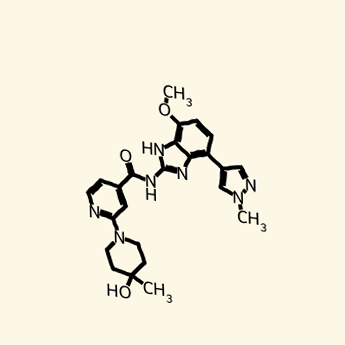 COc1ccc(-c2cnn(C)c2)c2nc(NC(=O)c3ccnc(N4CCC(C)(O)CC4)c3)[nH]c12